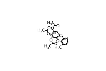 CC(=O)O[C@@H]1[C@@H](OC(C)=O)[C@H](OC(C)=O)CS[C@H]1Oc1c(C)ccnc1Cl